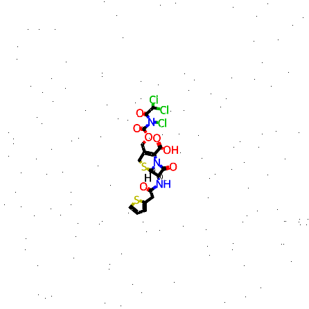 O=C(Cc1cccs1)N[C@@H]1C(=O)N2C(C(=O)O)=C(COC(=O)N(Cl)C(=O)C(Cl)Cl)CS[C@H]12